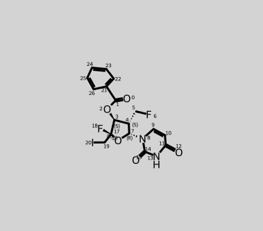 O=C(O[C@H]1[C@H](CF)[C@H](n2ccc(=O)[nH]c2=O)O[C@]1(F)CI)c1ccccc1